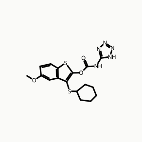 COc1ccc2sc(OC(=O)Nc3nnn[nH]3)c(SC3CCCCC3)c2c1